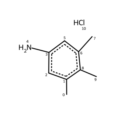 Cc1cc(N)cc(C)c1C.Cl